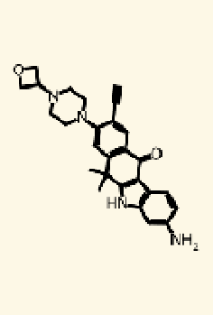 C#Cc1cc2c(cc1N1CCN(C3COC3)CC1)C(C)(C)c1[nH]c3cc(N)ccc3c1C2=O